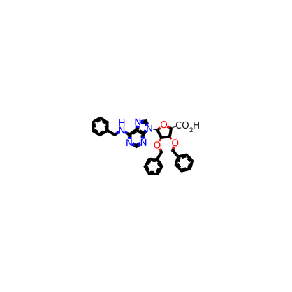 O=C(O)[C@H]1O[C@@H](n2cnc3c(NCc4ccccc4)ncnc32)[C@H](OCc2ccccc2)[C@@H]1OCc1ccccc1